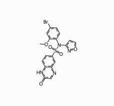 COc1cc(Br)ccc1N(c1ccon1)S(=O)(=O)c1ccc2[nH]c(=O)cnc2c1